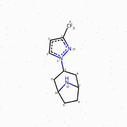 FC(F)(F)c1ccn(C2CC3CCC(C2)N3)n1